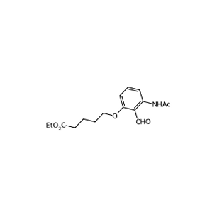 CCOC(=O)CCCCOc1cccc(NC(C)=O)c1C=O